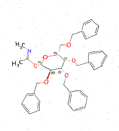 CN=C(C)O[C@@H]1O[C@H](COCc2ccccc2)[C@H](OCc2ccccc2)[C@H](OCc2ccccc2)[C@H]1OCc1ccccc1